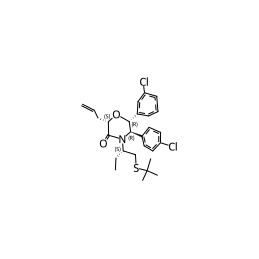 C=CC[C@@H]1O[C@H](c2cccc(Cl)c2)[C@@H](c2ccc(Cl)cc2)N([C@@H](CC)CSC(C)(C)C)C1=O